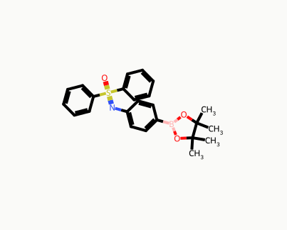 CC1(C)OB(c2ccc(N=S(=O)(c3ccccc3)c3ccccc3)cc2)OC1(C)C